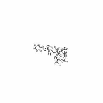 CC(=O)O[C@@H]1[C@H](OC(=O)C(C)C)CO[C@@]2(CN3CCC(NC(=O)OCc4ccccc4)CC3)OC(C)(C)O[C@@H]12